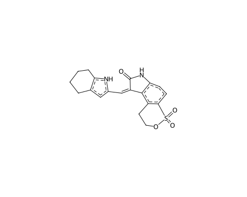 O=C1Nc2ccc3c(c2/C1=C/c1cc2c([nH]1)CCCC2)CCOS3(=O)=O